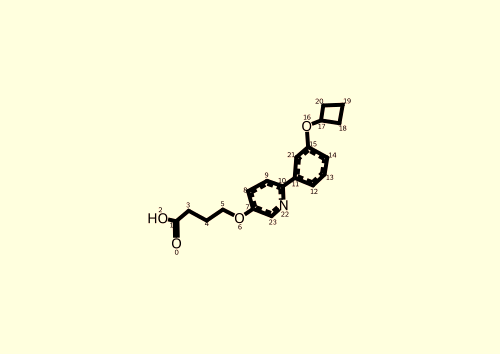 O=C(O)CCCOc1ccc(-c2cccc(OC3CCC3)c2)nc1